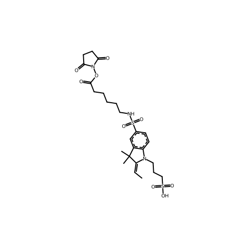 CC=C1N(CCCS(=O)(=O)O)c2ccc(S(=O)(=O)NCCCCCC(=O)ON3C(=O)CCC3=O)cc2C1(C)C